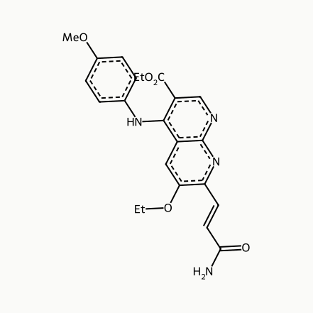 CCOC(=O)c1cnc2nc(C=CC(N)=O)c(OCC)cc2c1Nc1ccc(OC)cc1